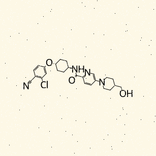 N#Cc1ccc(O[C@H]2CC[C@H](NC(=O)c3ccc(N4CCC(CO)CC4)cn3)CC2)cc1Cl